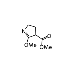 COC(=O)C1CCN=C1OC